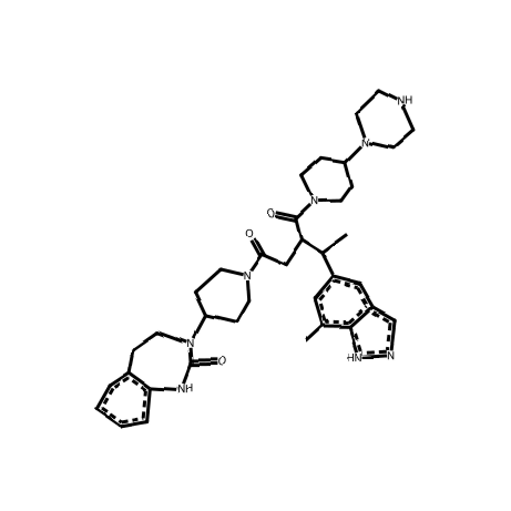 Cc1cc(C(C)C(CC(=O)N2CCC(N3CCc4ccccc4NC3=O)CC2)C(=O)N2CCC(N3CCNCC3)CC2)cc2cn[nH]c12